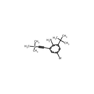 CC(C)(C)c1cc(Br)cc(C#C[Si](C)(C)C)c1N